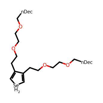 CCCCCCCCCCCOCCOCCC1=C[SeH2]C=C1CCOCCOCCCCCCCCCCC